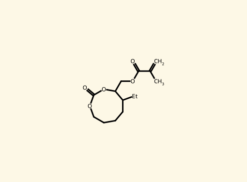 C=C(C)C(=O)OCC1OC(=O)OCCCCC1CC